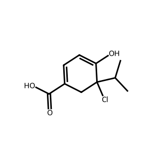 CC(C)C1(Cl)CC(C(=O)O)=CC=C1O